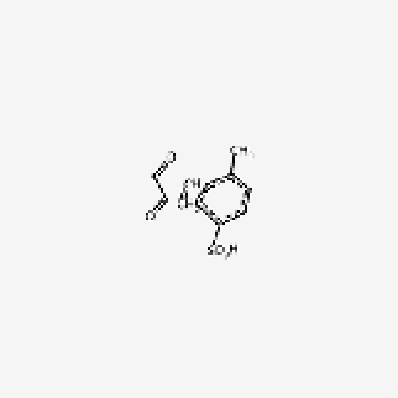 C=C.Cc1ccc(S(=O)(=O)O)cc1.O=CC=O